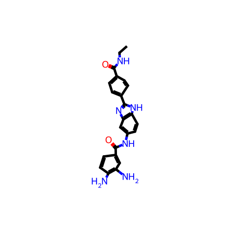 CCNC(=O)c1ccc(-c2nc3cc(NC(=O)c4ccc(N)c(N)c4)ccc3[nH]2)cc1